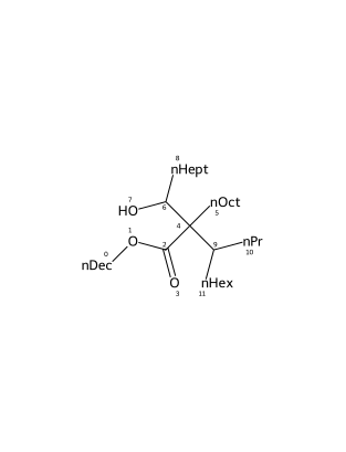 CCCCCCCCCCOC(=O)C(CCCCCCCC)(C(O)CCCCCCC)C(CCC)CCCCCC